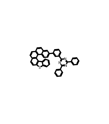 c1ccc(-c2nc(-c3ccccc3)nc(-c3cccc(-c4ccc5c(ccc6ccc7ccc8sc9ccccc9c8c7c65)c4)c3)n2)cc1